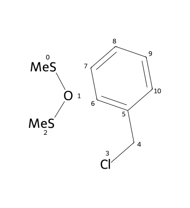 CSOSC.ClCc1ccccc1